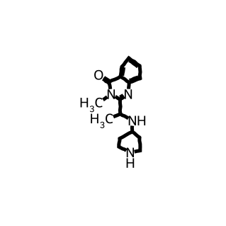 CC(NC1CCNCC1)c1nc2ccccc2c(=O)n1C